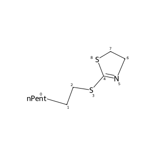 CCCCCCCSC1=NCCS1